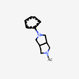 CC(=O)N1CC2CN(c3ccccc3)CC2C1